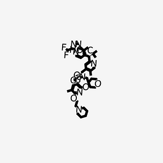 Cc1cnc([C@H](c2ccn3c(C(F)F)nnc3c2C)C(C)(C)C(=O)O)cc1CN1CC2(CCOCC2)Oc2nc(OCCN3CCCCC3)c(C)cc2S1(=O)=O